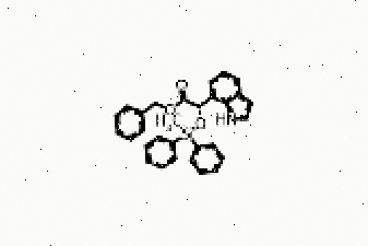 C[Si](O[C@H](C(=O)OCc1ccccc1)c1cccc2cc[nH]c12)(c1ccccc1)c1ccccc1